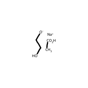 CC(=O)O.[Na+].[O-]CCO